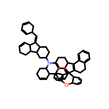 C1=CCC(/C=C2\C3C=CCCC3C3CC(N(C4=CC5C(CC4)C4=C(CCc6ccccc64)C54C5=C(C=CCC5)OC5C=CC=CC54)C4CCC=CC4C4C=CC=CC4)CCC23)C=C1